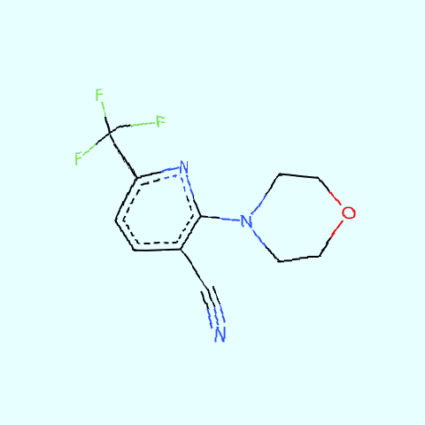 N#Cc1ccc(C(F)(F)F)nc1N1CCOCC1